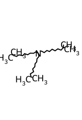 CC(C)CCCCCCCCN(CCCCCCCCC(C)C)CCCCCCCCC(C)C